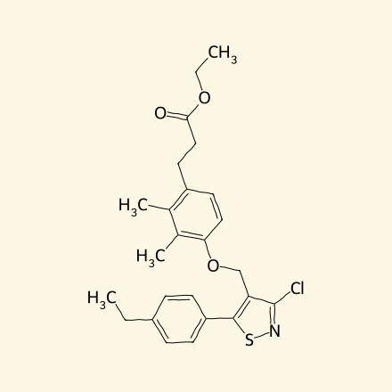 CCOC(=O)CCc1ccc(OCc2c(Cl)nsc2-c2ccc(CC)cc2)c(C)c1C